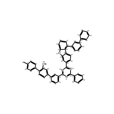 Cc1ccc(-c2ccc(-c3cccc(-c4nc(-c5ccccc5)nc(-c5ccc6c(c5)oc5cccc(-c7cccc(-c8ccccc8)c7)c56)n4)c3)cc2C#N)cc1